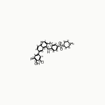 CC(=O)c1cnc2ccc(-c3cc(F)c(O)c(Cl)c3)cc2c1Nc1ccc(S(=O)(=O)N2CCN(C)CC2)cc1